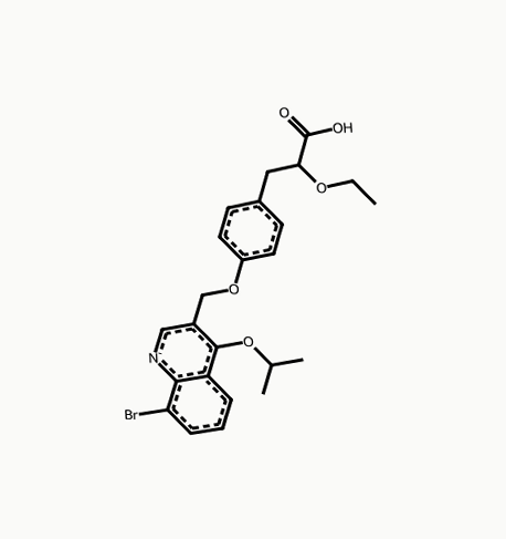 CCOC(Cc1ccc(OCc2cnc3c(Br)cccc3c2OC(C)C)cc1)C(=O)O